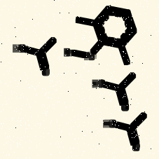 CC(=O)O.CC(=O)O.CC(=O)O.Cc1cccc(C)[c]1[Pb][Br]